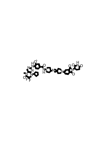 COc1cc(C(=O)NN2CCC(N3CC4(CCN(c5ccc6c(c5)C(=O)N(C5CCC(=O)NC5=O)C6=O)CC4)C3)CC2)ccc1Nc1ncc2c(n1)N(C1CCCC1)CC(F)(F)C(=O)N2C